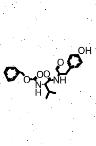 CC(C)[C@H](NC(=O)OCc1ccccc1)C(=O)NC(C=O)Cc1ccc(O)cc1